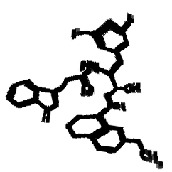 CCc1ccc2c(c1)C(NCC(O)C(Cc1cc(F)cc(F)c1)NC(=O)Cc1c[nH]c3ccccc13)CCC2